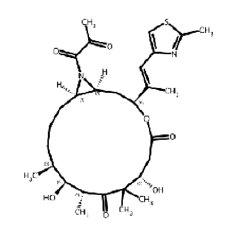 CC(=O)C(=O)N1[C@@H]2CCC[C@H](C)[C@H](O)[C@@H](C)C(=O)C(C)(C)[C@@H](O)CC(=O)O[C@H](C(C)=Cc3csc(C)n3)C[C@@H]21